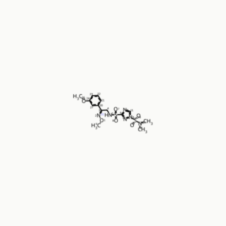 CO/N=C(\CNS(=O)(=O)c1ncn(S(=O)(=O)N(C)C)n1)c1cccc(OC)c1